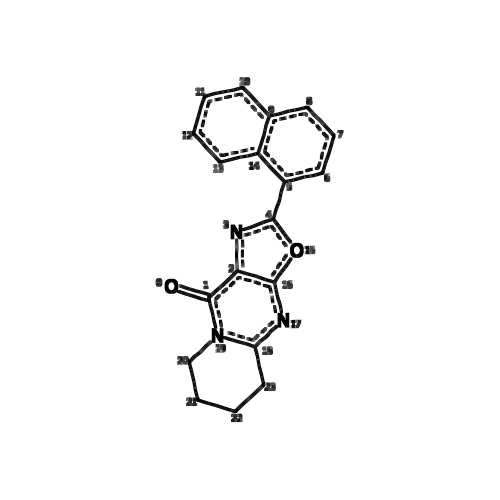 O=c1c2nc(-c3cccc4ccccc34)oc2nc2n1CCCC2